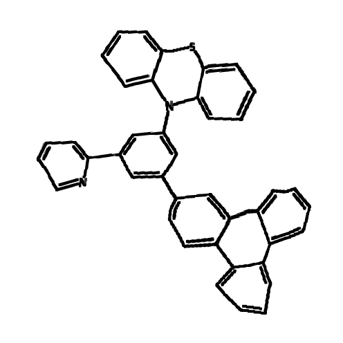 c1ccc(-c2cc(-c3ccc4c5ccccc5c5ccccc5c4c3)cc(N3c4ccccc4Sc4ccccc43)c2)nc1